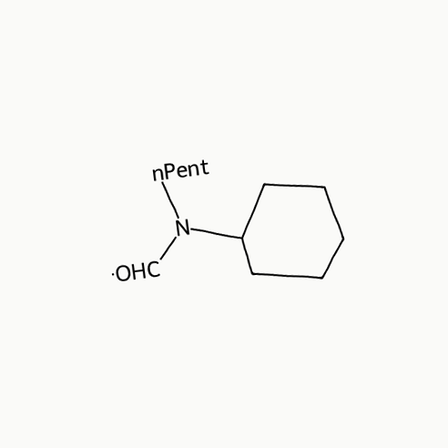 CCCCCN([C]=O)C1CCCCC1